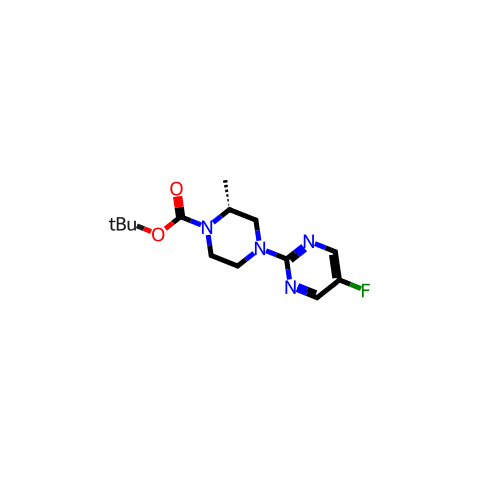 C[C@@H]1CN(c2ncc(F)cn2)CCN1C(=O)OC(C)(C)C